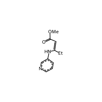 CC/C(=C/C(=O)OC)Nc1cccnc1